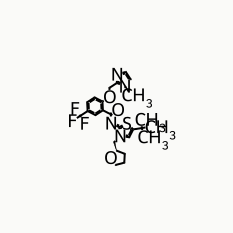 Cn1ccnc1COc1ccc(C(F)(F)F)cc1C(=O)N=c1sc(C(C)(C)C)cn1C[C@H]1CCCO1